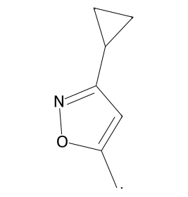 [CH2]c1cc(C2CC2)no1